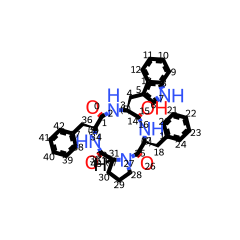 O=C1N[C@@H](Cc2c[nH]c3ccccc23)C(O)N[C@@H](Cc2ccccc2)C(=O)N2CCC[C@@H]2C(=O)N[C@H]1Cc1ccccc1